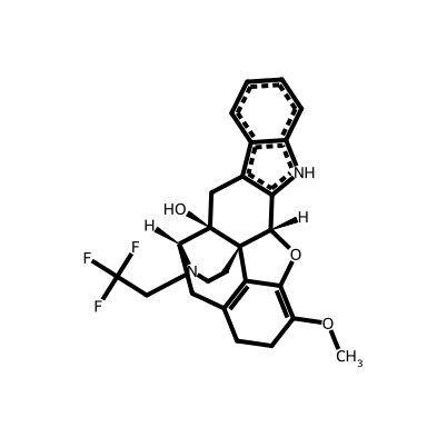 COC1=C2O[C@H]3c4[nH]c5ccccc5c4C[C@@]4(O)[C@H]5CC(=C2[C@@]34CCN5CC(F)(F)F)CC1